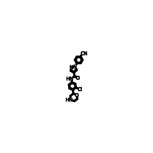 N#Cc1ccc(-n2cc(C(=O)Nc3ccc(C4CNCCO4)c(Cl)c3)cn2)cc1